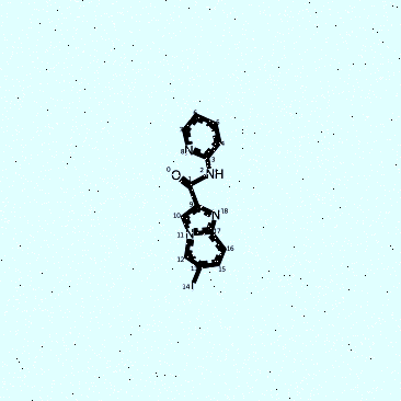 O=C(Nc1ccccn1)c1cn2cc(I)ccc2n1